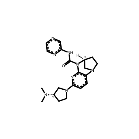 CN(C)[C@H]1CCN(c2ccc3c(n2)N(C(=O)Nc2cnccn2)[C@H]2CCN3C2)C1